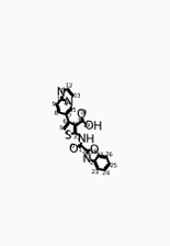 O=C(Nc1scc(-c2ccc3nccn3c2)c1C(=O)O)c1nc2ccccc2o1